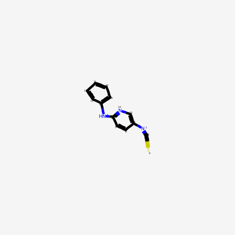 S=C=Nc1ccc(Nc2ccccc2)nc1